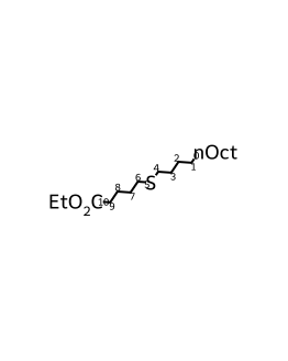 CCCCCCCCCCCCSCCCCC(=O)OCC